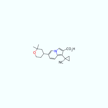 CC1(C)CC(c2ccc3c(C4(C#N)CC4)c(C(=O)O)cn3c2)CCO1